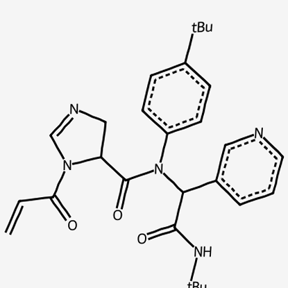 C=CC(=O)N1C=NCC1C(=O)N(c1ccc(C(C)(C)C)cc1)C(C(=O)NC(C)(C)C)c1cccnc1